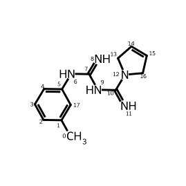 Cc1cccc(NC(=N)NC(=N)N2CC=CC2)c1